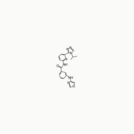 CC(C)n1cnnc1-c1cccc(NC(=O)c2cccc(Nc3cocn3)c2)n1